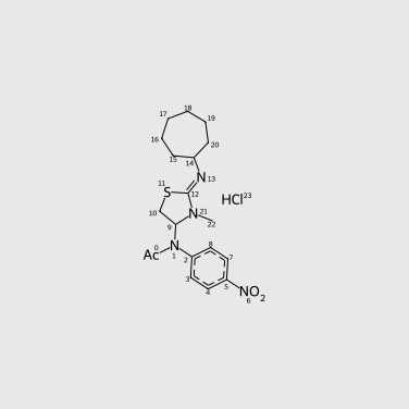 CC(=O)N(c1ccc([N+](=O)[O-])cc1)C1CSC(=NC2CCCCCC2)N1C.Cl